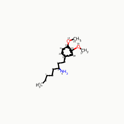 CCCCCC(N)CCc1ccc(OC)c(OC)c1